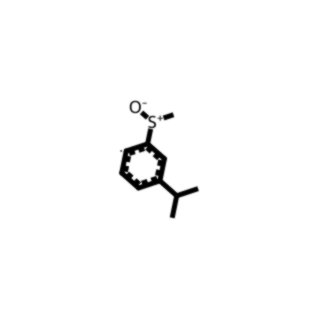 CC(C)c1cc[c]c([S+](C)[O-])c1